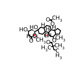 CCC(C)(C)C(=O)O[C@H]1C[C@H]2[C@@H]([C@H](OC(C)=O)C[C@@H]3C[C@@](O)([C@@H]4C[C@H](O)CC(=O)O4)[C@@H](C(C)C)C[C@@]32C)[C@@H]2CCC[C@@]12C